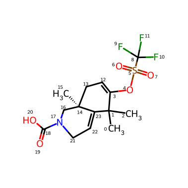 CC1(C)C(OS(=O)(=O)C(F)(F)F)=CC[C@]2(C)CN(C(=O)O)CC=C12